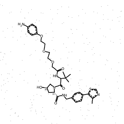 Cc1ncsc1-c1ccc(CNC(=O)[C@@H]2C[C@@H](O)CN2C(=O)C(NC(=O)COCCOCCOc2ccc(N)cc2)C(C)(C)C)cc1